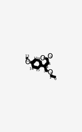 CCOCc1cc(=O)oc2cc(OC)ccc12